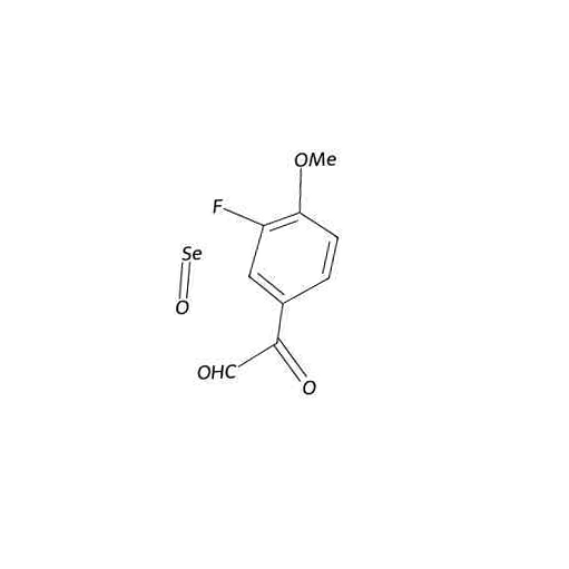 COc1ccc(C(=O)C=O)cc1F.O=[Se]